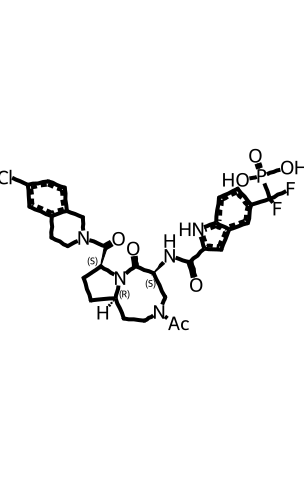 CC(=O)N1CC[C@H]2CC[C@@H](C(=O)N3CCc4cc(Cl)ccc4C3)N2C(=O)[C@@H](NC(=O)c2cc3cc(C(F)(F)P(=O)(O)O)ccc3[nH]2)C1